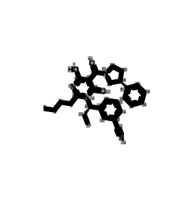 CCCCc1nc(O)c(C(=O)N2CC[C@H](c3ccccc3)C2)c(=O)n1[C@@H](CC)c1cccc(C#N)c1